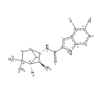 C[C@@H]1[C@@H](NC(=O)c2cc3c(F)c(Cl)ncc3[nH]2)C2C[C@@H]1C(C)(C)C2